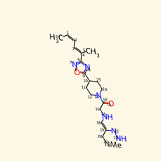 C/C=C\C=C(/C)c1noc(C2CCN(C(=O)CN/C=C(/CNC)N=N)CC2)n1